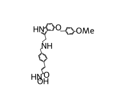 COc1ccc(COc2ccc3[nH]cc(CCNCc4ccc(/C=C/C(=O)NO)cc4)c3c2)cc1